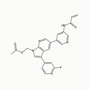 C=CC(=O)Nc1cncc(-c2cnc3c(c2)c(-c2ccnc(F)c2)cn3COC(C)=O)c1